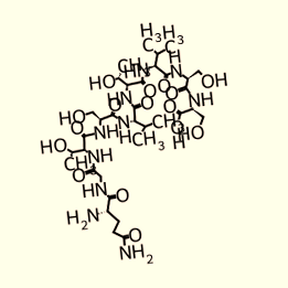 CC(C)[C@H](NC(=O)[C@H](CO)NC(=O)[C@@H](NC(=O)CNC(=O)[C@@H](N)CCC(N)=O)[C@@H](C)O)C(=O)N[C@H](C(=O)N[C@H](C(=O)N[C@@H](CO)C(=O)N[C@@H](CO)C(=O)O)C(C)C)[C@@H](C)O